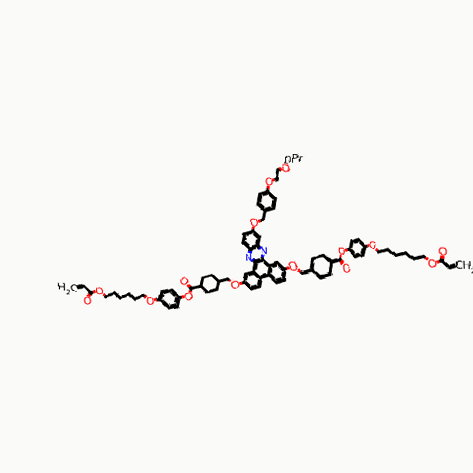 C=CC(=O)OCCCCCCOc1ccc(OC(=O)C2CCC(COc3ccc4c5ccc(OCC6CCC(C(=O)Oc7ccc(OCCCCCCOC(=O)C=C)cc7)CC6)cc5c5nc6cc(OCc7ccc(OCCOCCC)cc7)ccc6nc5c4c3)CC2)cc1